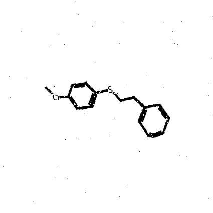 COc1ccc(SCCc2ccccc2)cc1